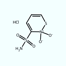 Cl.NS(=O)(=O)C1=CC=CS[N+]1([O-])[O-]